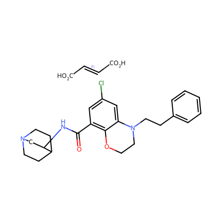 O=C(NC1CN2CCC1CC2)c1cc(Cl)cc2c1OCCN2CCc1ccccc1.O=C(O)/C=C/C(=O)O